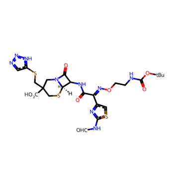 CC(C)(C)OC(=O)NCCON=C(C(=O)NC1C(=O)N2CC(CSc3cnn[nH]3)(C(=O)O)CS[C@H]12)c1csc(NC=O)n1